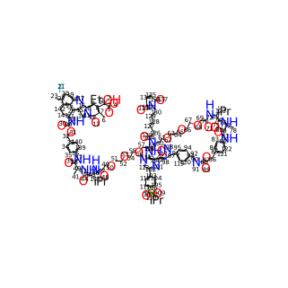 CC[C@@]1(O)C(=O)OCc2c1cc1n(c2=O)Cc2c-1nc1cc(F)c(C)c3c1c2[C@@H](NC(=O)OCc1ccc(NC(=O)[C@H](C)NC(=O)[C@@H](NC(=O)COCCOCCOCCN(CCOCCOCCOCC(=O)N[C@H](C(=O)N[C@@H](C)C(=O)Nc2ccc(COC(=O)N(C)Cc4ccc(-c5cc(-c6nc(-c7ccc(S(=O)(=O)C(C)C)cc7)cnc6N)on5)cc4)cc2)C(C)C)C(=O)CCCCCN2C(=O)C=CC2=O)C(C)C)cc1)CC3